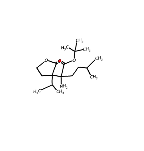 CC(C)CCC(N)(C(=O)OC(C)(C)C)C1(C(C)C)CCOC1=O